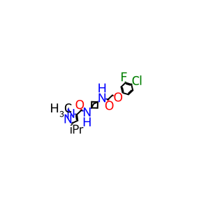 CC(C)c1cc(C(=O)NC23CC(NC(=O)COc4ccc(Cl)c(F)c4)(C2)C3)n(C)n1